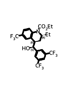 CCOC(=O)N1c2ccc(C(F)(F)F)cc2[C@H]([C@H](O)c2cc(C(F)(F)F)cc(C(F)(F)F)c2)C[C@H]1CC